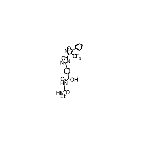 CCNC(=O)CNC(=O)C(O)c1ccc(-c2noc(-c3noc(-c4ccccc4)c3C(F)(F)F)n2)cc1